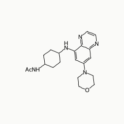 CC(=O)NC1CCC(Nc2cc(N3CCOCC3)cc3nccnc23)CC1